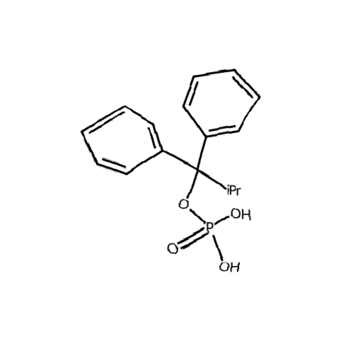 CC(C)C(OP(=O)(O)O)(c1ccccc1)c1ccccc1